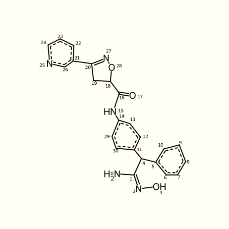 N/C(=N/O)C(c1ccccc1)c1ccc(NC(=O)C2CC(c3cccnc3)=NO2)cc1